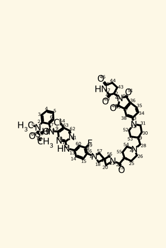 CN(c1ccccc1Nc1nc(Nc2ccc(N3CC4(CN(C(=O)C5CCN(CC6CCN(c7ccc8c(c7)C(=O)N(C7CCC(=O)NC7=O)C8=O)CC6)CC5)C4)C3)c(F)c2)ncc1Cl)S(C)(=O)=O